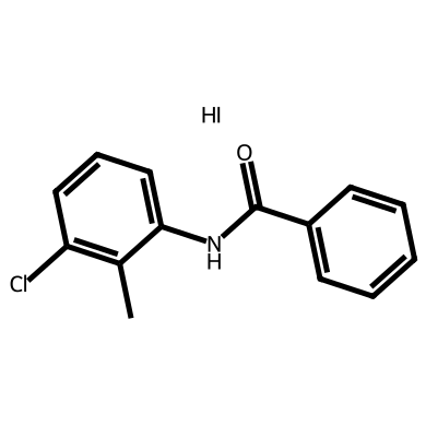 Cc1c(Cl)cccc1NC(=O)c1ccccc1.I